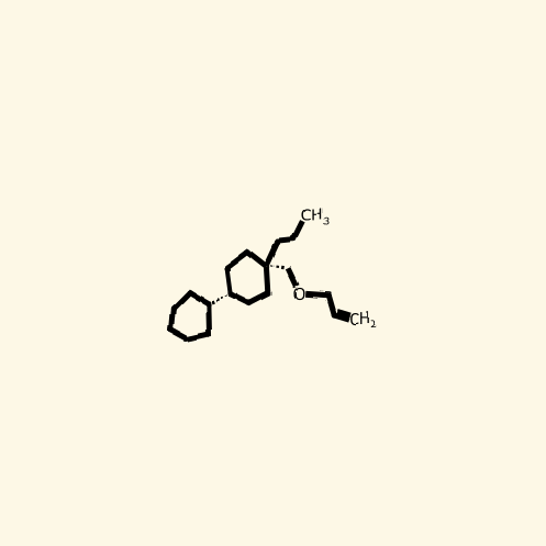 C=CCOC[C@]1(CCC)CC[C@H](C2CCCCC2)CC1